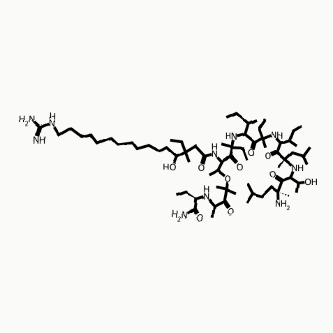 CCC(C)C(NC(C)(CC)C(=O)C(NC(=O)CC(C)(CC)C(O)CCCCCCCCCCCCNC(=N)N)C(C)OC(C)(C)C(=O)C(C)N[C@H](CC)C(N)=O)C(=O)C(C)(CC)NC(C(=O)[C@](C)(CC(C)C)NC(C(=O)[C@@](C)(N)CCC(C)C)C(C)O)C(C)CC